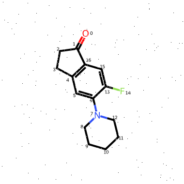 O=C1CCc2cc(N3CCCCC3)c(F)cc21